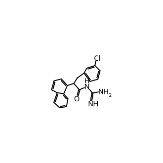 N=C(N)NC(=O)C(Cc1cccc(Cl)c1)c1cccc2ccccc12